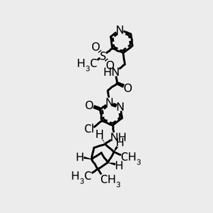 C[C@@H]1[C@H]2C[C@@H](C[C@H]1Nc1cnn(CC(=O)NCc3ccncc3S(C)(=O)=O)c(=O)c1Cl)C2(C)C